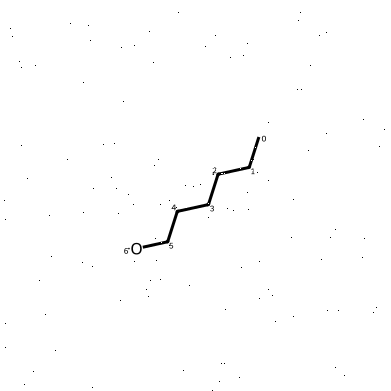 CC[CH]CCC[O]